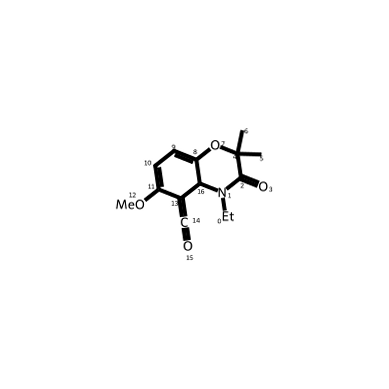 CCN1C(=O)C(C)(C)OC2=CC=C(OC)C(=C=O)C21